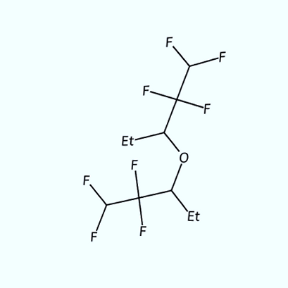 CCC(OC(CC)C(F)(F)C(F)F)C(F)(F)C(F)F